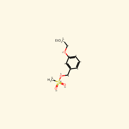 CCOC(=O)COc1cccc(COS(C)(=O)=O)c1